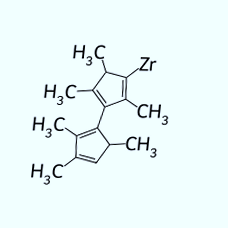 CC1=CC(C)C(C2=C(C)C(C)[C]([Zr])=C2C)=C1C